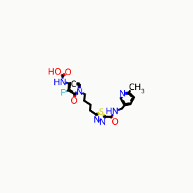 Cc1ccc(CNC(=O)c2nnc(CCCCn3ccc(NC(=O)O)c(F)c3=O)s2)cn1